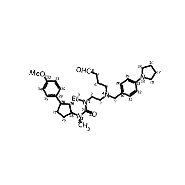 CCN(CCN(CCCC=O)Cc1ccc(N2CCCC2)cc1)C(=O)N(C)C1CCC(c2ccc(OC)cc2)C1